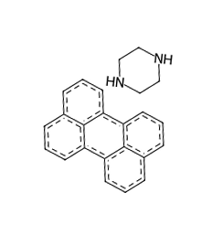 C1CNCCN1.c1cc2cccc3c4cccc5cccc(c(c1)c23)c54